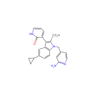 Nc1cc(Cn2c(C(=O)O)c(-c3ccc[nH]c3=O)c3cc(C4CC4)ccc32)ccn1